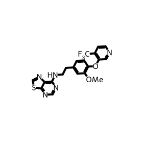 COc1cc(CCNc2ncnc3scnc23)ccc1Oc1cnccc1C(F)(F)F